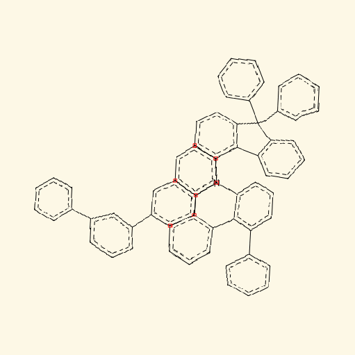 c1ccc(-c2cccc(-c3ccc(N(c4cccc(-c5ccccc5)c4-c4ccccc4-c4ccccc4)c4cccc5c4-c4ccccc4C5(c4ccccc4)c4ccccc4)cc3)c2)cc1